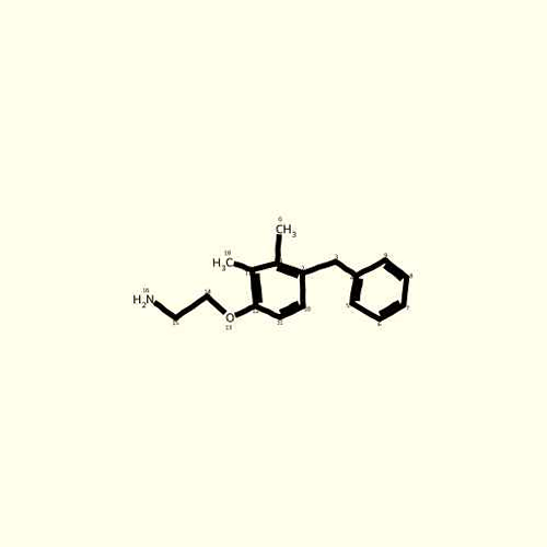 Cc1c(Cc2ccccc2)ccc(OCCN)c1C